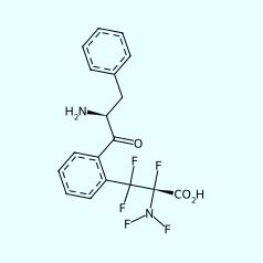 N[C@@H](Cc1ccccc1)C(=O)c1ccccc1C(F)(F)[C@@](F)(C(=O)O)N(F)F